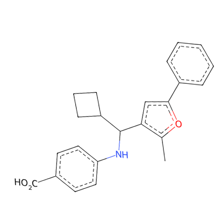 Cc1oc(-c2ccccc2)cc1C(Nc1ccc(C(=O)O)cc1)C1CCC1